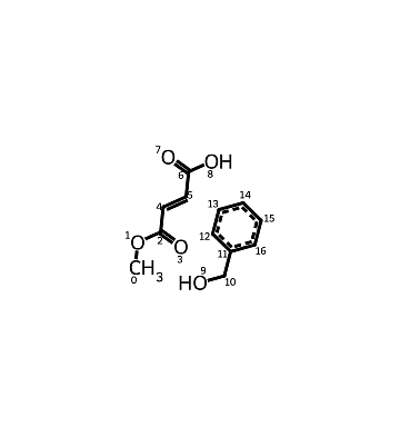 COC(=O)/C=C/C(=O)O.OCc1ccccc1